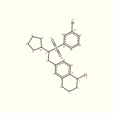 CCN1CCCc2cc(CN(C3CCCC3)S(=O)(=O)c3cccc(Br)c3)ccc21